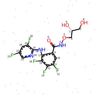 O=C(NOC[C@H](O)CO)c1cc(F)c(F)c(F)c1Nc1ncc(F)cc1F